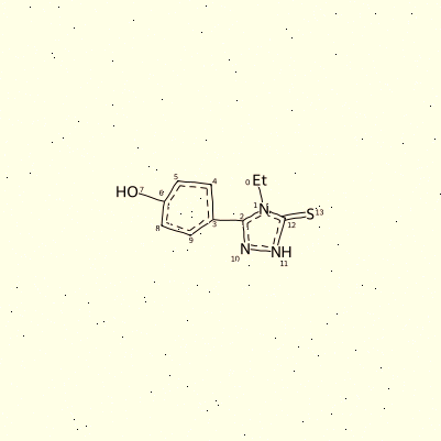 CCn1c(-c2ccc(O)cc2)n[nH]c1=S